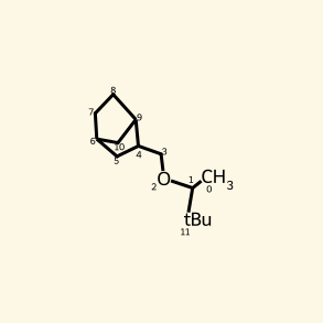 CC(OCC1CC2CCC1C2)C(C)(C)C